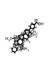 C=C(C)[C@@H]1CC[C@]2(N(c3ccccn3)S(C)(=O)=O)CC[C@]3(C)[C@H](CC[C@@H]4[C@@]5(C)CC=C(c6ccc(C(=O)O)cc6)C(C)(C)[C@@H]5CC[C@]43C)[C@@H]12